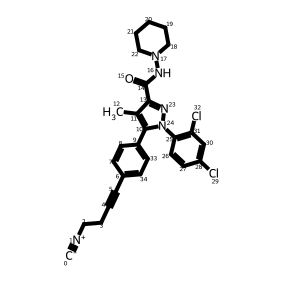 [C-]#[N+]CCC#Cc1ccc(-c2c(C)c(C(=O)NN3CCCCC3)nn2-c2ccc(Cl)cc2Cl)cc1